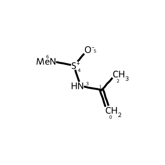 C=C(C)N[S+]([O-])NC